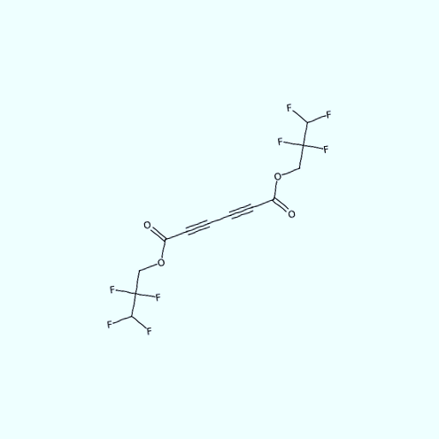 O=C(C#CC#CC(=O)OCC(F)(F)C(F)F)OCC(F)(F)C(F)F